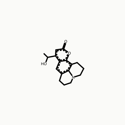 CC(O)c1cc(=O)oc2c3c4c(cc12)CCCN4CCC3